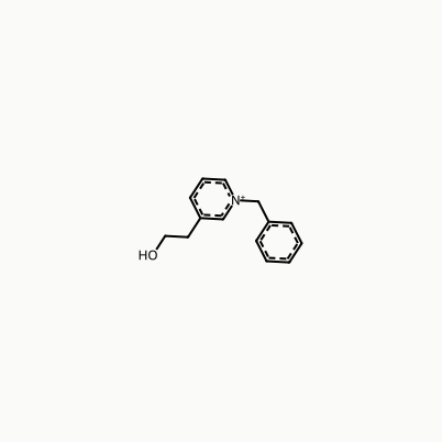 OCCc1ccc[n+](Cc2ccccc2)c1